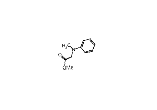 COC(=O)CN(C)c1ccccc1